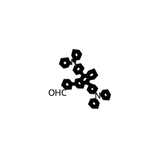 O=Cc1cccc(-c2ccc3c(-c4ccc(N(c5ccccc5)c5ccccc5)cc4)c4ccccc4c(-c4ccc(N(c5ccccc5)c5ccccc5)cc4)c3c2)c1